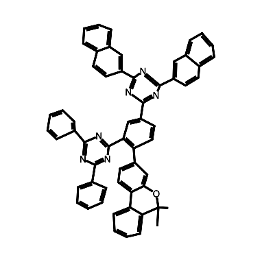 CC1(C)Oc2cc(-c3ccc(-c4nc(-c5ccc6ccccc6c5)nc(-c5ccc6ccccc6c5)n4)cc3-c3nc(-c4ccccc4)nc(-c4ccccc4)n3)ccc2-c2ccccc21